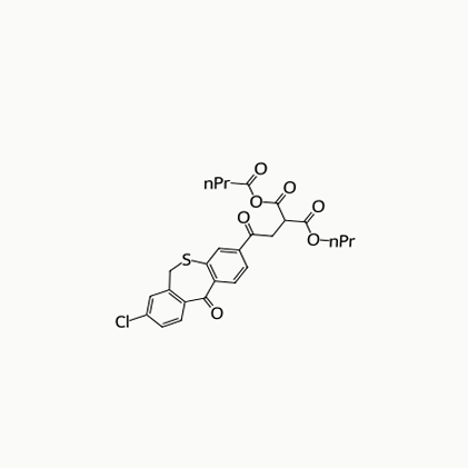 CCCOC(=O)C(CC(=O)c1ccc2c(c1)SCc1cc(Cl)ccc1C2=O)C(=O)OC(=O)CCC